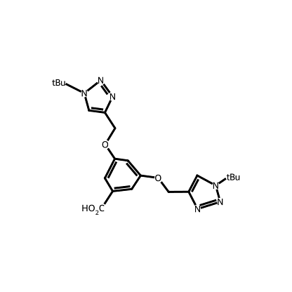 CC(C)(C)n1cc(COc2cc(OCc3cn(C(C)(C)C)nn3)cc(C(=O)O)c2)nn1